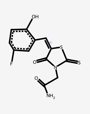 NC(=O)CN1C(=O)/C(=C\c2cc(F)ccc2O)SC1=S